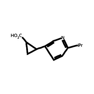 CC(C)c1ccc(C2CC2C(=O)O)cn1